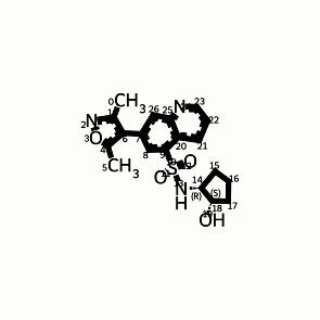 Cc1noc(C)c1-c1cc(S(=O)(=O)N[C@@H]2CCC[C@@H]2O)c2cccnc2c1